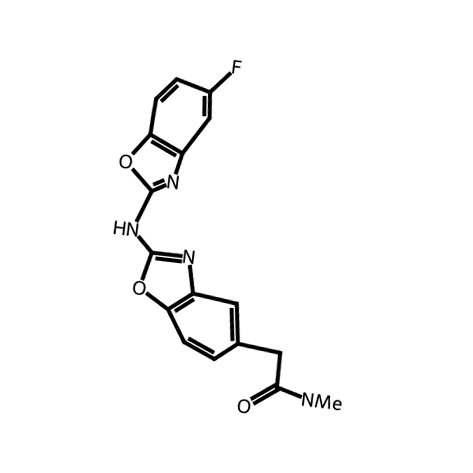 CNC(=O)Cc1ccc2oc(Nc3nc4cc(F)ccc4o3)nc2c1